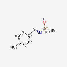 CC(C)(C)[S@@+]([O-])N=Cc1ccc(C#N)cc1